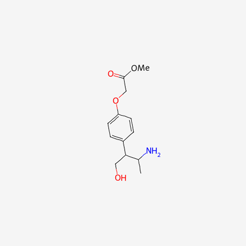 COC(=O)COc1ccc(C(CO)C(C)N)cc1